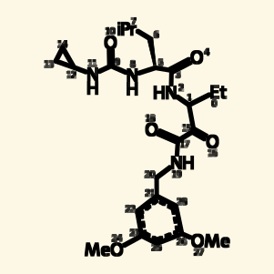 CCC(NC(=O)[C@H](CC(C)C)NC(=O)NC1CC1)C(=O)C(=O)NCc1cc(OC)cc(OC)c1